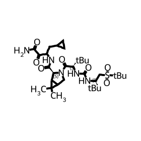 CC1(C)C2CN(C(=O)[C@@H](NC(=O)N[C@H](CS(=O)(=O)C(C)(C)C)C(C)(C)C)C(C)(C)C)[C@H](C(=O)NC(CC3CC3)C(=O)C(N)=O)C21